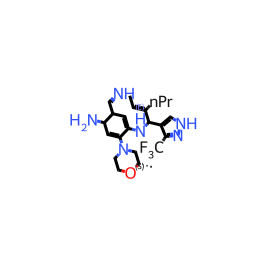 C/C=C(\CCC)C(NC1=CC(C=N)C(N)C=C1N1CCO[C@@H](C)C1)c1c[nH]nc1C(F)(F)F